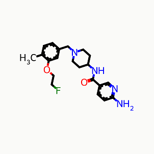 Cc1ccc(CN2CCC(NC(=O)c3ccc(N)nc3)CC2)cc1OCCF